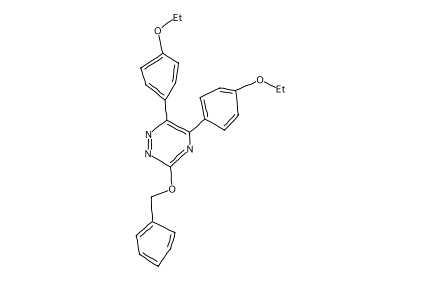 CCOc1ccc(-c2nnc(OCc3ccccc3)nc2-c2ccc(OCC)cc2)cc1